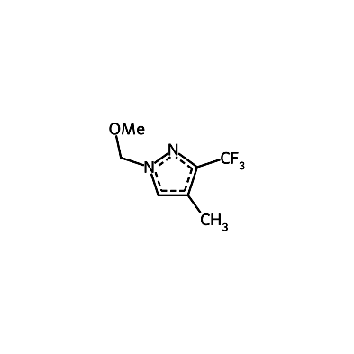 COCn1cc(C)c(C(F)(F)F)n1